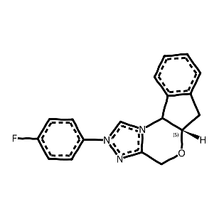 Fc1ccc(-[n+]2cn3c(n2)CO[C@H]2Cc4ccccc4C23)cc1